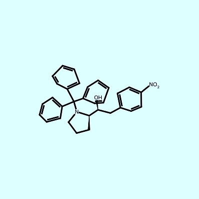 O=[N+]([O-])c1ccc(C[C@H](O)[C@H]2CCCN2C(c2ccccc2)(c2ccccc2)c2ccccc2)cc1